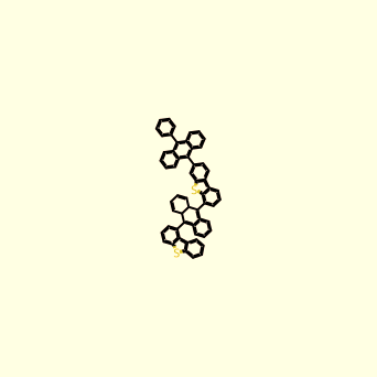 C1=CC2C(c3cccc4c3sc3cc(-c5c6ccccc6c(-c6ccccc6)c6ccccc56)ccc34)=c3ccccc3=C(c3cccc4sc5ccccc5c34)C2C=C1